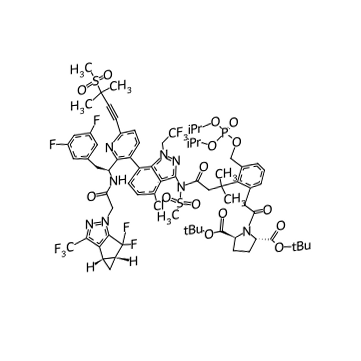 CC(C)OP(=O)(OCc1cccc(CC(=O)N2[C@H](C(=O)OC(C)(C)C)CC[C@H]2C(=O)OC(C)(C)C)c1C(C)(C)CC(=O)N(c1nn(CC(F)(F)F)c2c(-c3ccc(C#CC(C)(C)S(C)(=O)=O)nc3[C@H](Cc3cc(F)cc(F)c3)NC(=O)Cn3nc(C(F)(F)F)c4c3C(F)(F)[C@@H]3C[C@H]43)ccc(Cl)c12)S(C)(=O)=O)OC(C)C